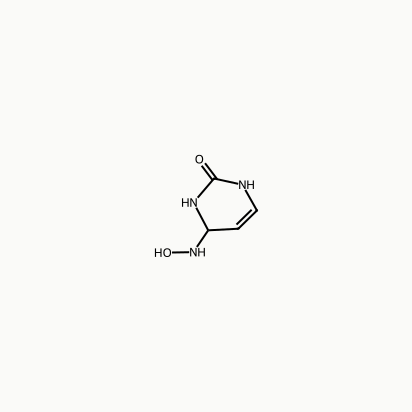 O=C1NC=CC(NO)N1